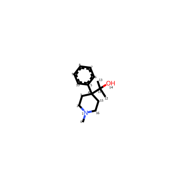 CN1CCC(c2ccccc2)(C(C)(C)O)CC1